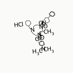 CC1CN(S(=O)(=O)c2ccc(N(C)C)cc2)CCCN(CC2CCCCC2)CCCN(S(=O)(=O)N2CCC(c3ccccc3)CC2)C1.Cl